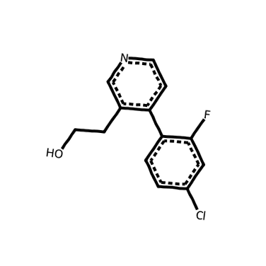 OCCc1cnccc1-c1ccc(Cl)cc1F